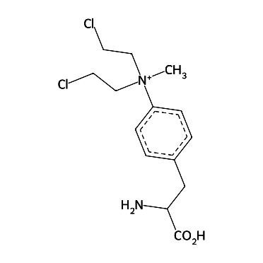 C[N+](CCCl)(CCCl)c1ccc(CC(N)C(=O)O)cc1